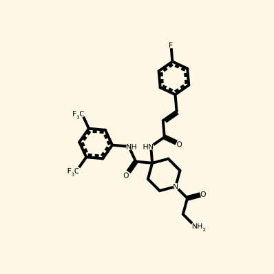 NCC(=O)N1CCC(NC(=O)C=Cc2ccc(F)cc2)(C(=O)Nc2cc(C(F)(F)F)cc(C(F)(F)F)c2)CC1